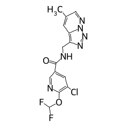 Cc1cnn2nnc(CNC(=O)c3cnc(OC(F)F)c(Cl)c3)c2c1